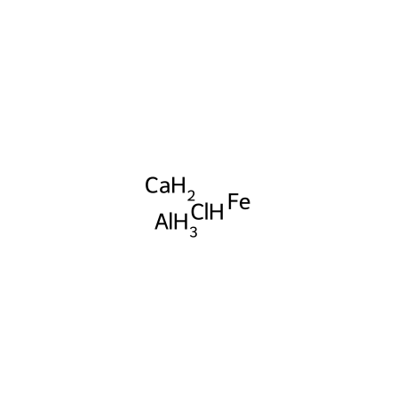 Cl.[AlH3].[CaH2].[Fe]